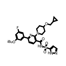 CC(C)COc1cc(F)cc(-c2ccc(C(=O)NS(=O)(=O)c3ccn[nH]3)c(N3CCC(OCC4CC4)CC3)n2)c1